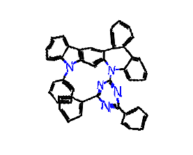 c1ccc(-c2nc(-c3ccccc3)nc(N3c4ccccc4-c4ccccc4-c4cc5c6ccccc6n(-c6ccccc6)c5cc43)n2)cc1